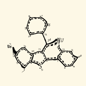 Brc1ccc2sc3c4ccccc4nc(-c4ccccc4)c3c2c1